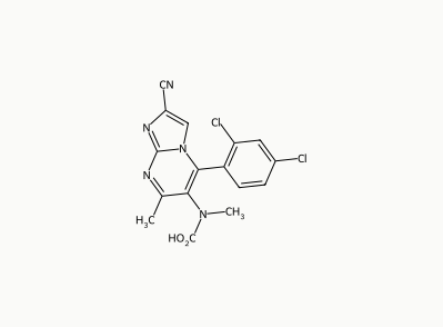 Cc1nc2nc(C#N)cn2c(-c2ccc(Cl)cc2Cl)c1N(C)C(=O)O